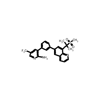 CC(C)(c1cc(-c2cccc(-c3cc(C(F)(F)F)cnc3N)c2)cc2cccnc12)S(C)(=O)=O